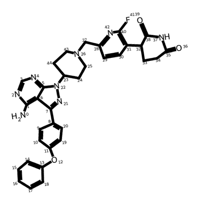 Nc1ncnc2c1c(-c1ccc(Oc3ccccc3)cc1)nn2C1CCN(Cc2ccc(C3CCC(=O)NC3=O)c(F)n2)CC1